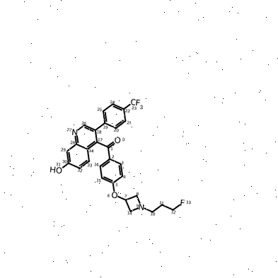 O=C(c1ccc(OC2CN(CCCF)C2)cc1)c1c(-c2ccc(C(F)(F)F)cc2)cnc2cc(O)ccc12